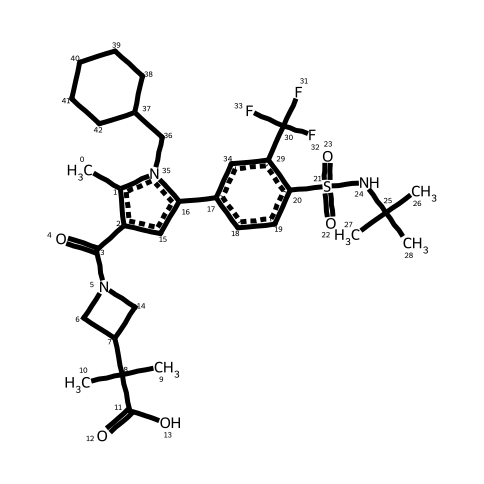 Cc1c(C(=O)N2CC(C(C)(C)C(=O)O)C2)cc(-c2ccc(S(=O)(=O)NC(C)(C)C)c(C(F)(F)F)c2)n1CC1CCCCC1